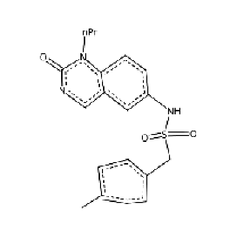 CCCn1c(=O)ncc2cc(NS(=O)(=O)Cc3ccc(C)cc3)ccc21